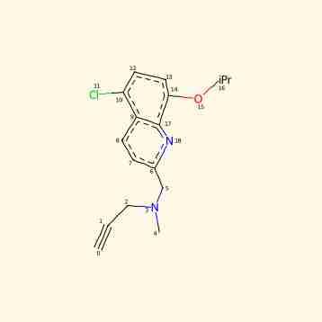 C#CCN(C)Cc1ccc2c(Cl)ccc(OC(C)C)c2n1